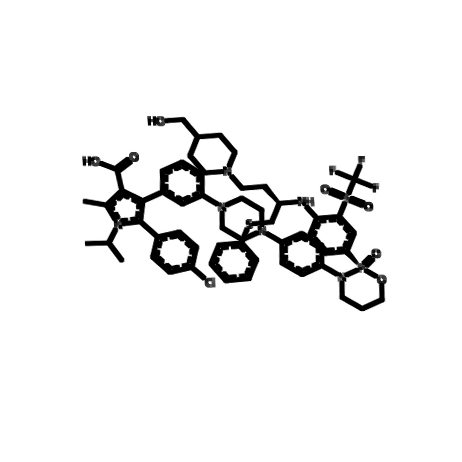 Cc1c(C(=O)O)c(-c2cccc(N3CCN(c4ccc(N5CCCO[P@]5(=O)c5ccc(N[C@H](CCN6CCC(CO)CC6)CSc6ccccc6)c(S(=O)(=O)C(F)(F)F)c5)cc4)CC3)c2)c(-c2ccc(Cl)cc2)n1C(C)C